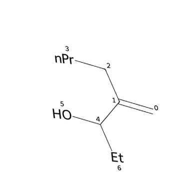 C=C(CCCC)C(O)CC